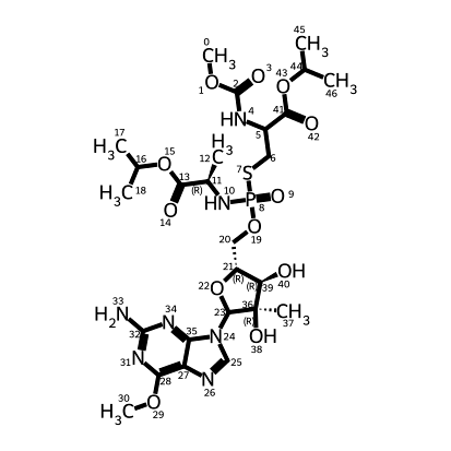 COC(=O)NC(CSP(=O)(N[C@H](C)C(=O)OC(C)C)OC[C@H]1OC(n2cnc3c(OC)nc(N)nc32)[C@](C)(O)[C@@H]1O)C(=O)OC(C)C